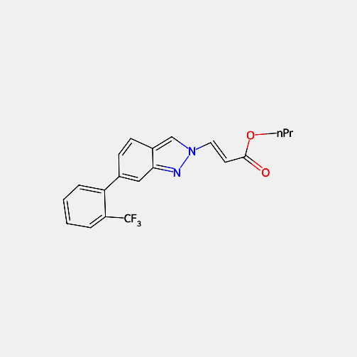 CCCOC(=O)C=Cn1cc2ccc(-c3ccccc3C(F)(F)F)cc2n1